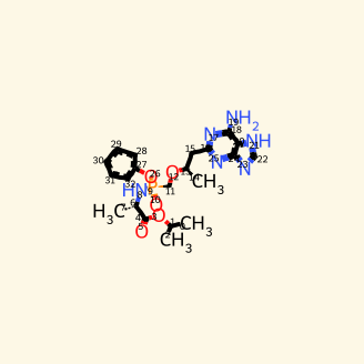 CC(C)OC(=O)[C@H](C)N[P@](=O)(CO[C@H](C)Cc1nc(N)c2[nH]cnc2n1)Oc1ccccc1